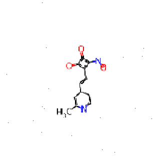 CC1=CC(/C=C/c2c(N=O)c(=O)c2=O)CC=N1